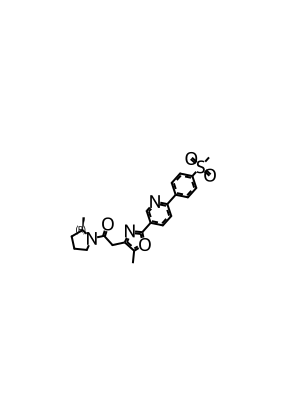 Cc1oc(-c2ccc(-c3ccc(S(C)(=O)=O)cc3)nc2)nc1CC(=O)N1CCC[C@H]1C